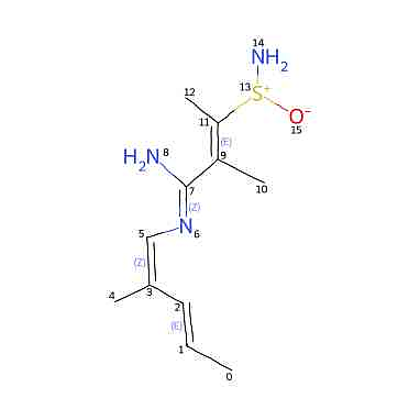 C/C=C/C(C)=C\N=C(N)\C(C)=C(/C)[S+](N)[O-]